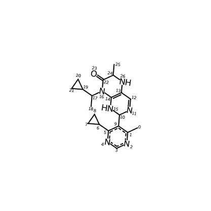 Cc1ncnc(C2CC2)c1C1N=CC2=C(N1)N(C(C)C1CC1)C(=O)C(C)N2